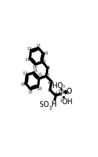 O=P(O)(O)C(CCC(Cc1ccccc1)c1ccccc1)S(=O)(=O)O